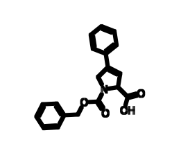 O=C(O)C1C=C(c2ccccc2)CN1C(=O)OCc1ccccc1